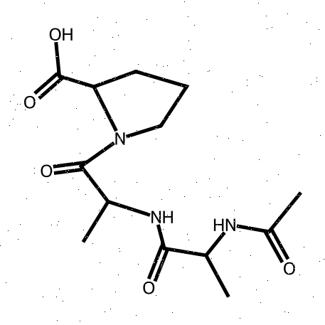 CC(=O)NC(C)C(=O)NC(C)C(=O)N1CCCC1C(=O)O